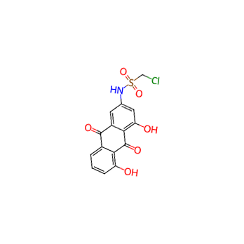 O=C1c2cccc(O)c2C(=O)c2c(O)cc(NS(=O)(=O)CCl)cc21